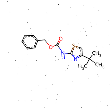 CC(C)(C)c1csc(NC(=O)OCc2ccccc2)n1